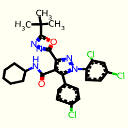 CC(C)(C)c1nnc(-c2nn(-c3ccc(Cl)cc3Cl)c(-c3ccc(Cl)cc3)c2C(=O)NC2CCCCC2)o1